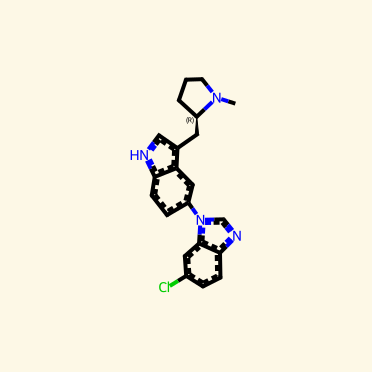 CN1CCC[C@@H]1Cc1c[nH]c2ccc(-n3cnc4ccc(Cl)cc43)cc12